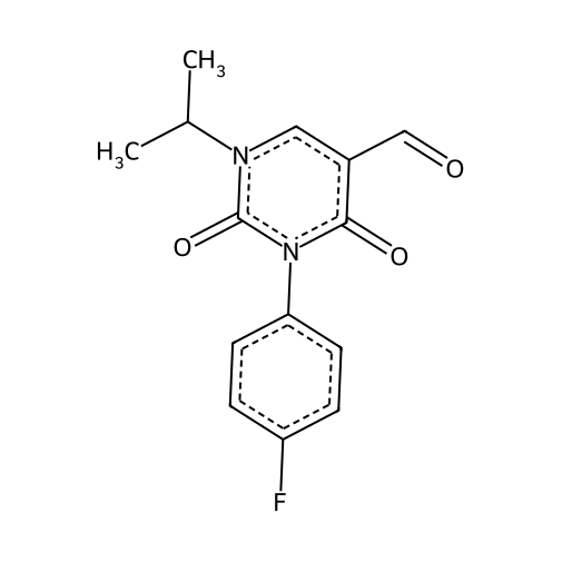 CC(C)n1cc(C=O)c(=O)n(-c2ccc(F)cc2)c1=O